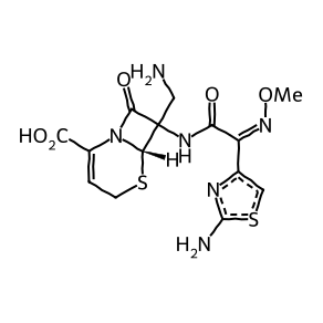 CO/N=C(\C(=O)NC1(CN)C(=O)N2C(C(=O)O)=CCS[C@H]21)c1csc(N)n1